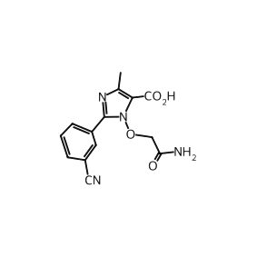 Cc1nc(-c2cccc(C#N)c2)n(OCC(N)=O)c1C(=O)O